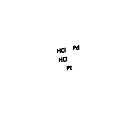 Cl.Cl.[Pd].[Pt]